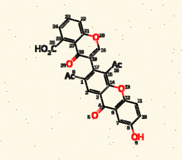 CC(=O)c1cc2c(=O)c3cc(O)ccc3oc2c(C(C)=O)c1-c1coc2cccc(C(=O)O)c2c1=O